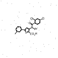 Cc1cccc(-c2cc(N(C(=O)c3ccc(Cl)cc3Cl)C(C)C)c(C(=O)O)s2)c1